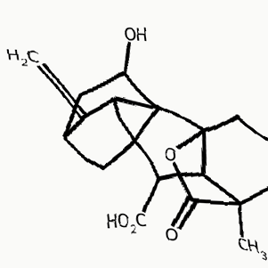 C=C1C2CC(O)C34C1C3(C2)C(C(=O)O)C1C2(C)CCCC14OC2=O